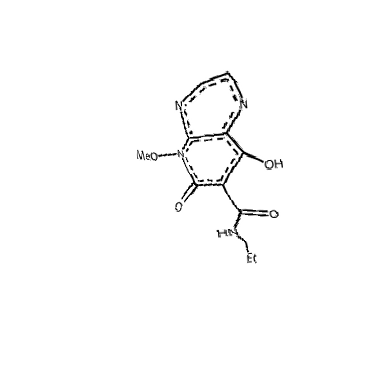 CCNC(=O)c1c(O)c2nccnc2n(OC)c1=O